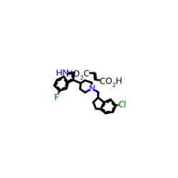 Fc1ccc2[nH]cc(C3CCN(CC4CCc5ccc(Cl)cc54)CC3)c2c1.O=C(O)C=CC(=O)O